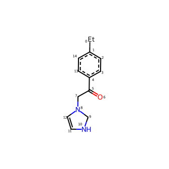 CCc1ccc(C(=O)CN2[CH]NC=C2)cc1